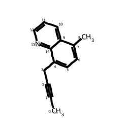 CC#CCc1ccc(C)c2cccnc12